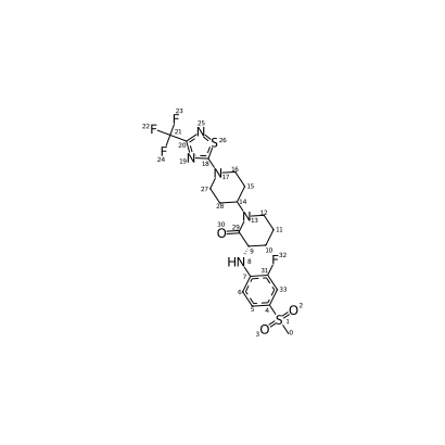 CS(=O)(=O)c1ccc(N[C@H]2CCCN(C3CCN(c4nc(C(F)(F)F)ns4)CC3)C2=O)c(F)c1